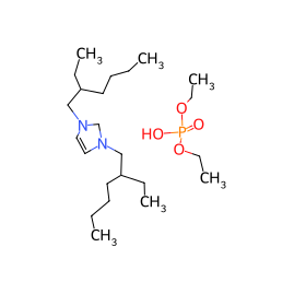 CCCCC(CC)CN1C=CN(CC(CC)CCCC)C1.CCOP(=O)(O)OCC